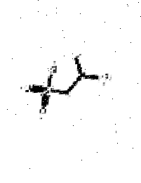 CCCC(C)CS(=O)(=O)S